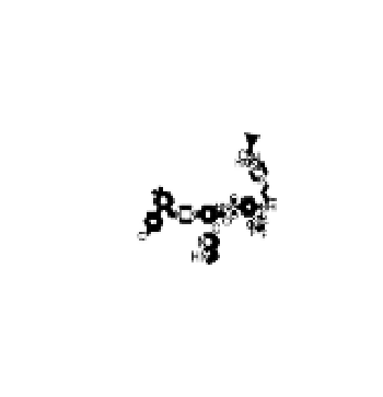 C[C@@H](CCN1CC[SH](O)(=NC(=O)C2CC2)CC1)Nc1ccc(S(=O)(=O)NC(=O)c2ccc(N3CCN(CC4=C(c5ccc(Cl)cc5)CC(C)(C)CC4)CC3)cc2Oc2cnc3[nH]ccc3c2)cc1S(=O)(=O)C(F)(F)F